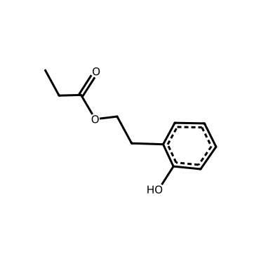 CCC(=O)OCCc1ccccc1O